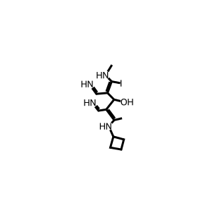 CN/C(I)=C(\C=N)C(O)/C(C=N)=C(\C)NC1CCC1